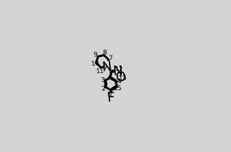 Fc1ccc2c(N3CCCCC3)noc2c1